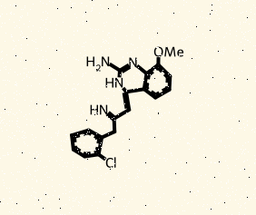 COc1cccc2c1N=C(N)N/C2=C\C(=N)Cc1ccccc1Cl